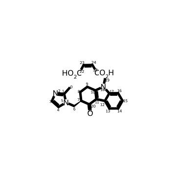 Cc1nccn1C[C@H]1CCc2c(c3ccccc3n2C)C1=O.O=C(O)/C=C\C(=O)O